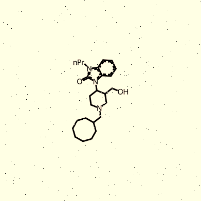 CCCn1c(=O)n(C2CCN(CC3CCCCCCC3)CC2CO)c2ccccc21